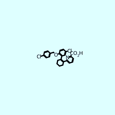 O=C(O)c1cccc(C2=C(c3cc(Cl)ccc3OCc3ccc(Cl)cc3)CCCC2)n1